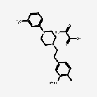 CCCCCc1cc(CCN2CCN(c3cccc(C(F)(F)F)c3)CC2)ccc1C.O=C(O)C(=O)O